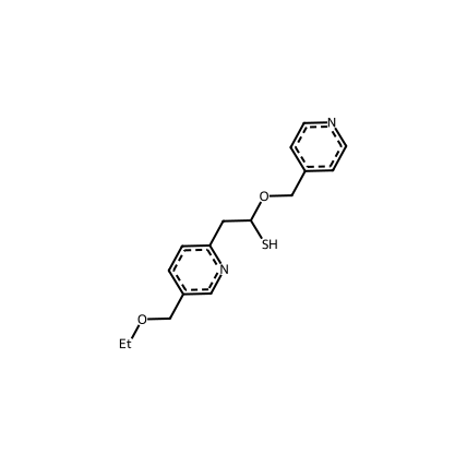 CCOCc1ccc(CC(S)OCc2ccncc2)nc1